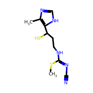 CSC(=NC#N)NCCC(S)c1[nH]cnc1C